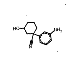 N#CC1(c2cccc(N)c2)CCCC(O)C1